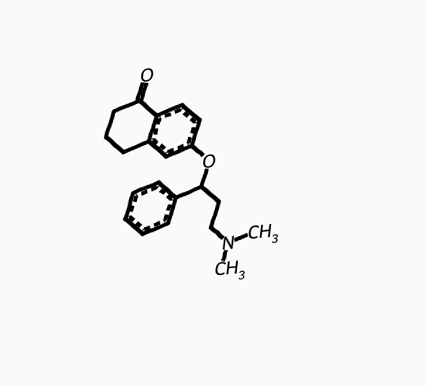 CN(C)CCC(Oc1ccc2c(c1)CCCC2=O)c1ccccc1